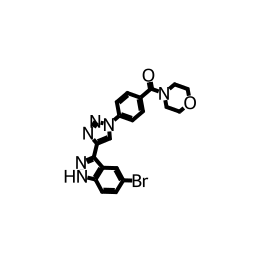 O=C(c1ccc(-n2cc(-c3n[nH]c4ccc(Br)cc34)nn2)cc1)N1CCOCC1